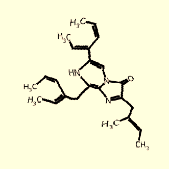 C/C=C\C(=C/C)Cc1[nH]c(C(/C=C\C)=C/C)cn2c(=O)c(C/C(C)=C/C)nc1-2